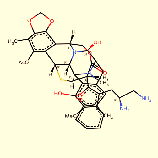 COc1c(C)cc2c(c1O)[C@H]1[C@@H]3[C@@H]4SC[C@@](C)(c5oc6ccccc6c5C[C@H](N)CN)C(=O)OC[C@@H](c5c6c(c(C)c(OC(C)=O)c54)OCO6)N3[C@@H](O)C(C2)N1C